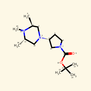 C[C@H]1CN([C@@H]2CCN(C(=O)OC(C)(C)C)C2)C[C@H](C)N1C